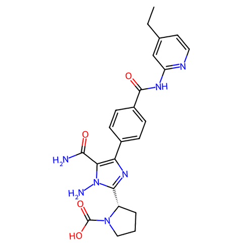 CCc1ccnc(NC(=O)c2ccc(-c3nc([C@@H]4CCCN4C(=O)O)n(N)c3C(N)=O)cc2)c1